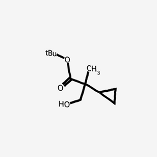 CC(C)(C)OC(=O)C(C)(CO)C1CC1